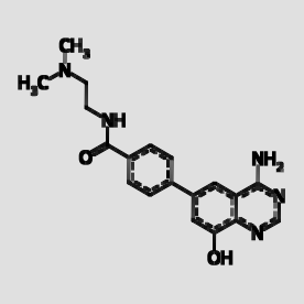 CN(C)CCNC(=O)c1ccc(-c2cc(O)c3ncnc(N)c3c2)cc1